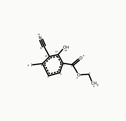 CCOC(=O)c1ccc(I)c(C#N)c1O